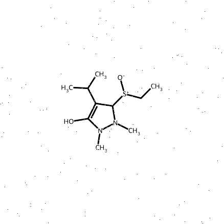 CC[S+]([O-])C1C(C(C)C)=C(O)N(C)N1C